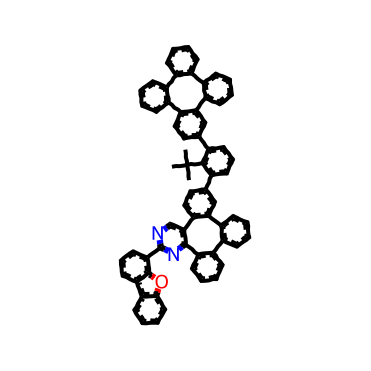 CC(C)(C)c1c(-c2ccc3c(c2)-c2ccccc2-c2ccccc2-c2ccccc2-3)cccc1-c1ccc2c(c1)-c1ccccc1-c1ccccc1-c1nc(-c3cccc4c3oc3ccccc34)ncc1-2